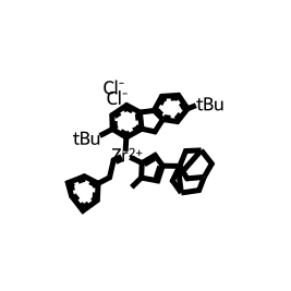 CC1C=C(C23CC4CC(CC(C4)C2)C3)C=[C]1[Zr+2](=[CH]Cc1ccccc1)[c]1c(C(C)(C)C)ccc2c1Cc1cc(C(C)(C)C)ccc1-2.[Cl-].[Cl-]